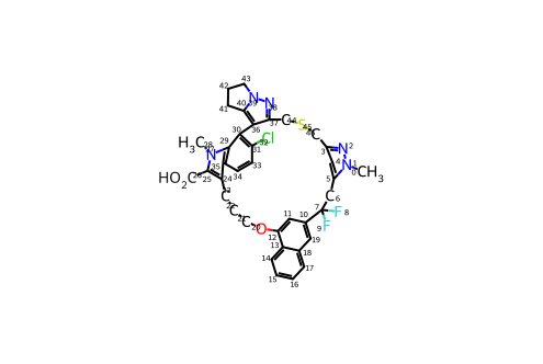 Cn1nc2cc1CC(F)(F)c1cc(c3ccccc3c1)OCCCc1c(C(=O)O)n(C)c3c(c(Cl)ccc13)-c1c(nn3c1CCC3)CSC2